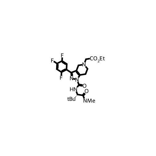 CCOC(=O)CN1CCc2c(c(-c3cc(F)c(F)cc3F)nn2C(=O)N[C@H](C(=O)NC)C(C)(C)C)C1